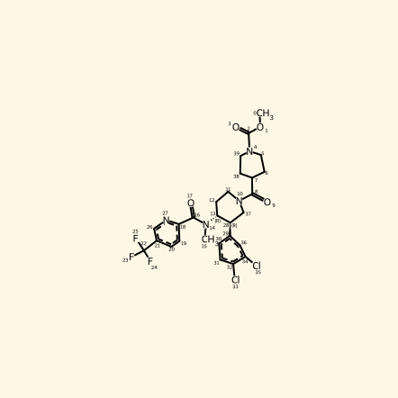 COC(=O)N1CCC(C(=O)N2CC[C@@H](N(C)C(=O)c3ccc(C(F)(F)F)cn3)[C@H](c3ccc(Cl)c(Cl)c3)C2)CC1